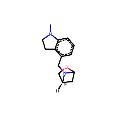 CN1CCc2c(CN3C4C[C@@H]3CO4)cccc21